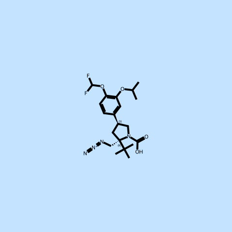 CC(C)Oc1cc([C@H]2CN(C(=O)O)[C@@](CN=[N+]=[N-])(C(C)(C)C)C2)ccc1OC(F)F